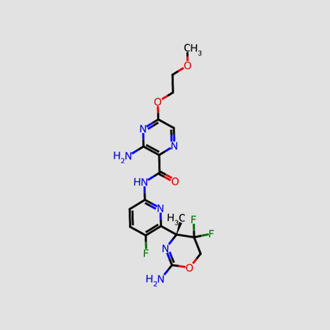 COCCOc1cnc(C(=O)Nc2ccc(F)c([C@@]3(C)N=C(N)OCC3(F)F)n2)c(N)n1